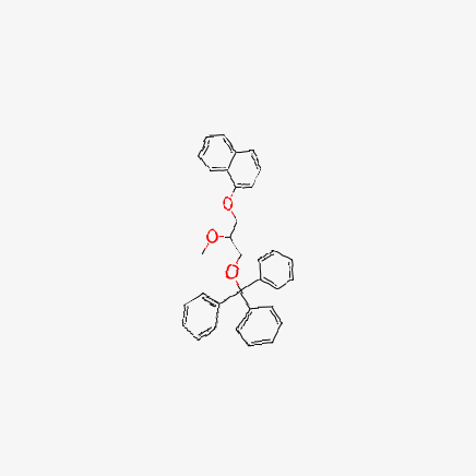 COC(COc1cccc2ccccc12)COC(c1ccccc1)(c1ccccc1)c1ccccc1